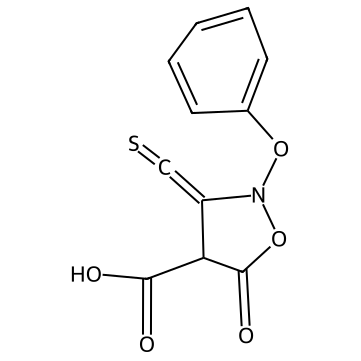 O=C(O)C1C(=O)ON(Oc2ccccc2)C1=C=S